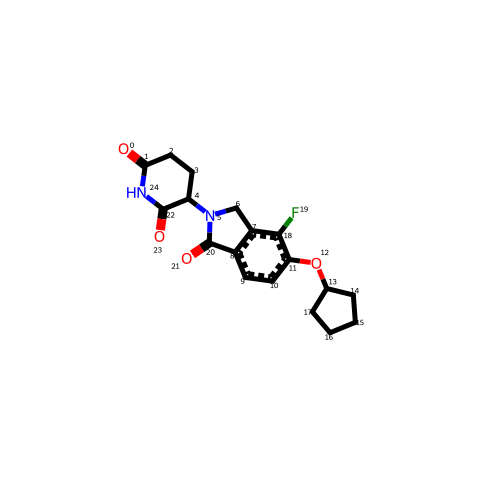 O=C1CCC(N2Cc3c(ccc(OC4CCCC4)c3F)C2=O)C(=O)N1